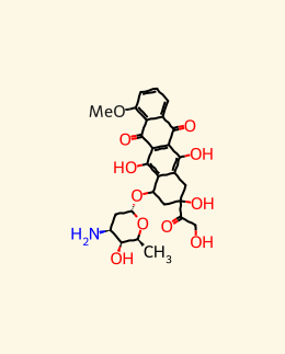 COc1cccc2c1C(=O)c1c(O)c3c(c(O)c1C2=O)CC(O)(C(=O)CO)CC3O[C@H]1C[C@H](N)[C@H](O)[C@H](C)O1